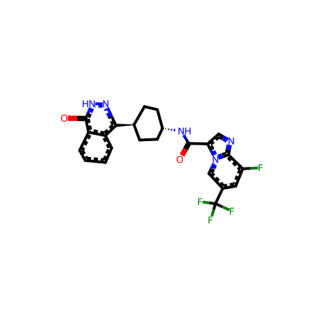 O=C(N[C@H]1CC[C@H](c2n[nH]c(=O)c3ccccc32)CC1)c1cnc2c(F)cc(C(F)(F)F)cn12